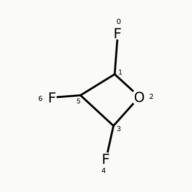 FC1OC(F)C1F